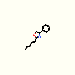 C/C=C/C=C/C1=N[C@H](c2ccccc2)CO1